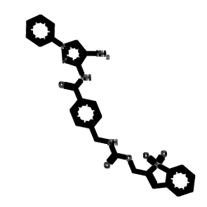 Nc1cn(-c2ccccc2)nc1NC(=O)c1ccc(CNC(=O)OCC2=Cc3ccccc3S2(=O)=O)cc1